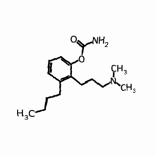 CCCCc1cccc(OC(N)=O)c1CCCN(C)C